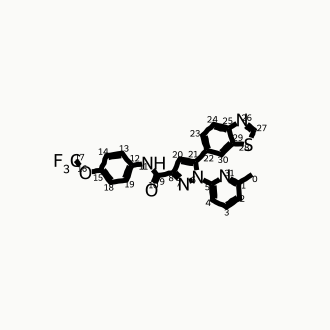 Cc1cccc(-n2nc(C(=O)Nc3ccc(OC(F)(F)F)cc3)cc2-c2ccc3ncsc3c2)n1